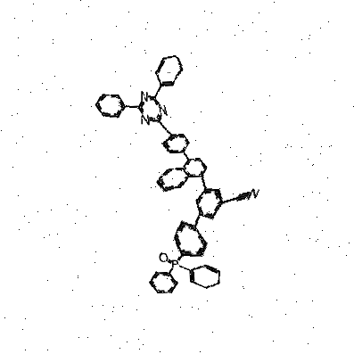 N#Cc1cc(-c2ccc(P(=O)(C3=CCCC=C3)c3ccccc3)cc2)cc(-c2ccc(-c3ccc(-c4nc(C5=CCCC=C5)nc(-c5ccccc5)n4)cc3)c3ccccc23)c1